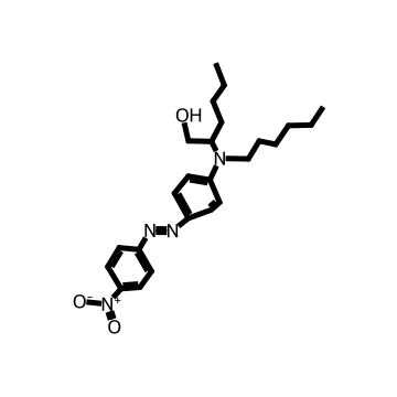 CCCCCCN(c1ccc(N=Nc2ccc([N+](=O)[O-])cc2)cc1)C(CO)CCCC